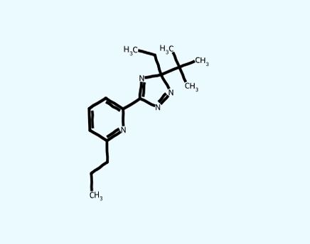 CCCc1cccc(C2=NC(CC)(C(C)(C)C)N=N2)n1